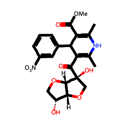 COC(=O)C1=C(C)NC(C)=C(C(=O)[C@]2(O)CO[C@@H]3[C@H](O)CO[C@@H]32)C1c1cccc([N+](=O)[O-])c1